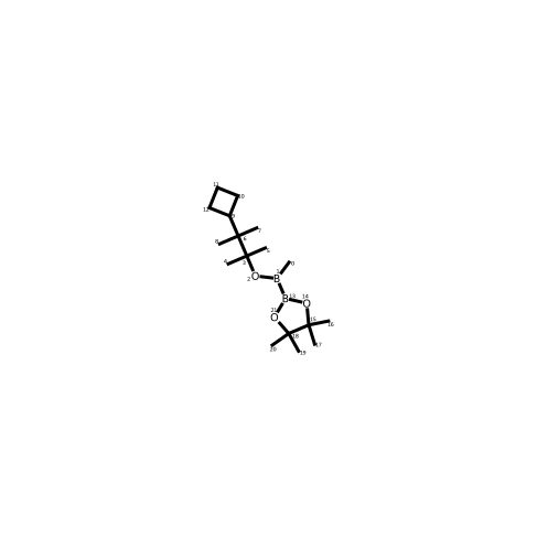 CB(OC(C)(C)C(C)(C)C1CCC1)B1OC(C)(C)C(C)(C)O1